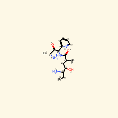 CC[C@H](C)[C@H](N)C(=O)C(NC(=O)C(CC(O)C(N)CC(C)C)C(C)C)c1ccccn1